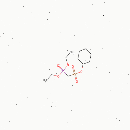 CCOP(=O)(CS(=O)(=O)OC1CCCCC1)OCC